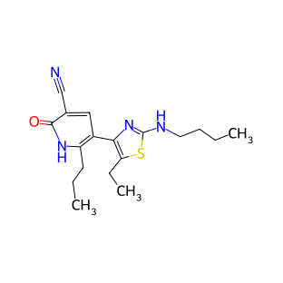 CCCCNc1nc(-c2cc(C#N)c(=O)[nH]c2CCC)c(CC)s1